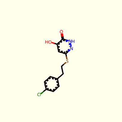 O=c1[nH]nc(SCCc2ccc(Cl)cc2)cc1O